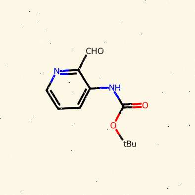 CC(C)(C)OC(=O)Nc1cccnc1C=O